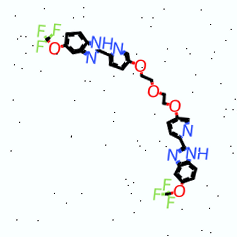 FC(F)(F)Oc1ccc2[nH]c(-c3ccc(OCCOCCOc4ccc(-c5nc6cc(OC(F)(F)F)ccc6[nH]5)nc4)cn3)nc2c1